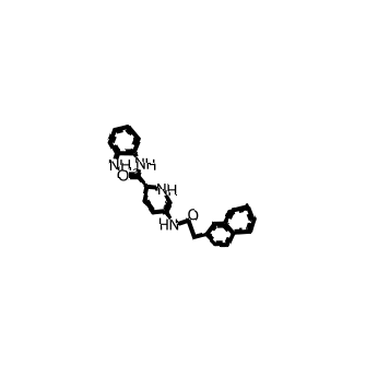 Nc1ccccc1NC(=O)C1C=CC(NC(=O)Cc2ccc3ccccc3c2)=CN1